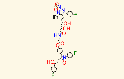 CC(C)c1nc(N(C)S(C)(=O)=O)nc(-c2ccc(F)cc2)c1/C=C/[C@@H](O)C[C@@H](O)CC(=O)NCCC(=O)Oc1ccc([C@@H]2[C@@H](CC[C@H](O)c3ccc(F)cc3)C(=O)N2c2ccc(F)cc2)cc1